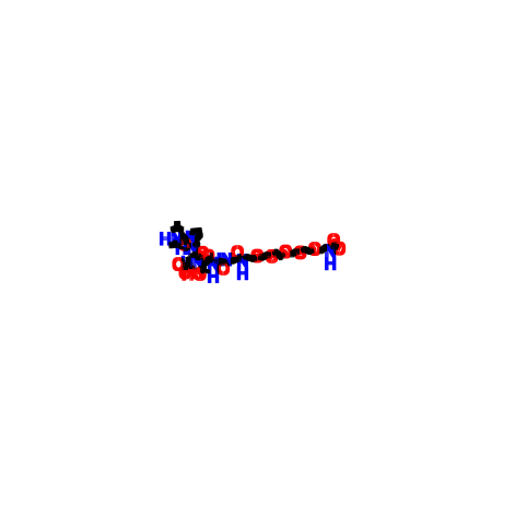 COC(=O)NCCOCCOCCOCCOCCOCCNC(=O)CNC(=O)CNC(=O)[C@@H](NC(=O)[C@H](CCC(=O)O)NCC1CCCN1C(=O)[C@H](CC(C)C)NC(C)C)[C@@H](C)O